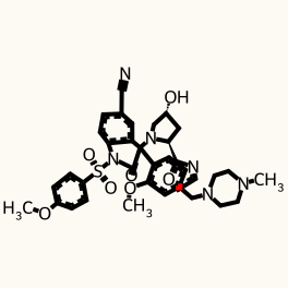 COc1ccc(S(=O)(=O)N2C(=O)C(c3ccc(CN4CCN(C)CC4)cc3OC)(N3C[C@H](O)C[C@H]3c3ncco3)c3cc(C#N)ccc32)cc1